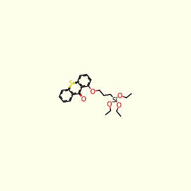 CCO[Si](CCCOc1cccc2sc3ccccc3c(=O)c12)(OCC)OCC